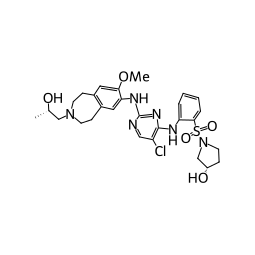 COc1cc2c(cc1Nc1ncc(Cl)c(Nc3ccccc3S(=O)(=O)N3CC[C@H](O)C3)n1)CCN(C[C@H](C)O)CC2